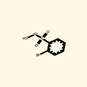 O=S(=O)([N+]S)c1ccccc1Br